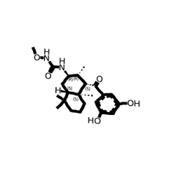 CONC(=O)N[C@@H]1C[C@H]2C(C)(C)CCC[C@]2(C)[C@@H](C(=O)c2cc(O)cc(O)c2)[C@H]1C